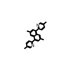 Cc1ccc(-c2cc(C)cc3c(-c4ccc(C)cn4)cc(C)cc23)nc1